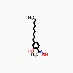 CCCCCCCCCc1ccc(C(C)=NO)c(O)c1